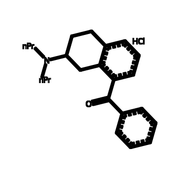 CCCN(CCC)C1CCc2cccc(C(=O)c3ccccc3)c2C1.Cl